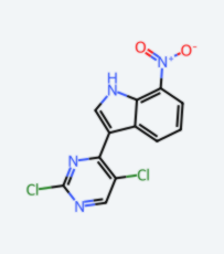 O=[N+]([O-])c1cccc2c(-c3nc(Cl)ncc3Cl)c[nH]c12